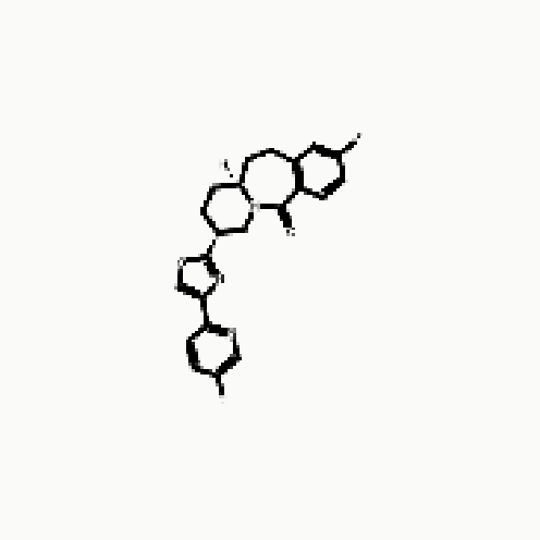 O=C1c2ccc(F)cc2CC[C@@H]2CC[C@H](c3nc(-c4ccc(F)cn4)co3)CN12